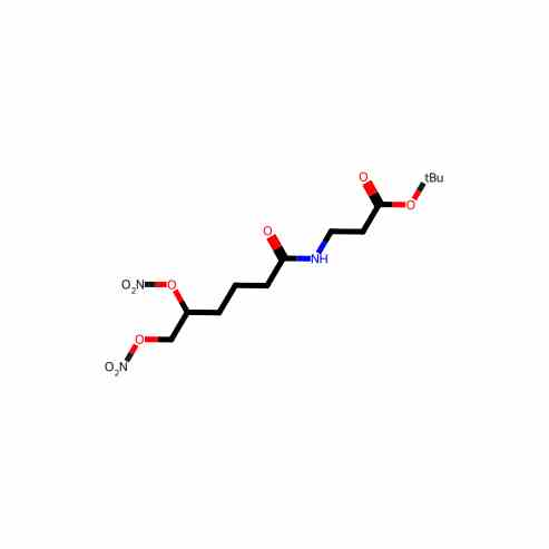 CC(C)(C)OC(=O)CCNC(=O)CCCC(CO[N+](=O)[O-])O[N+](=O)[O-]